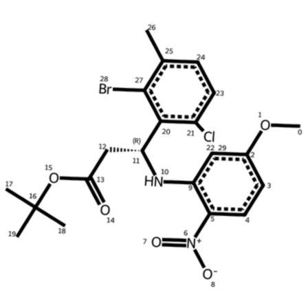 COc1ccc([N+](=O)[O-])c(N[C@H](CC(=O)OC(C)(C)C)c2c(Cl)ccc(C)c2Br)c1